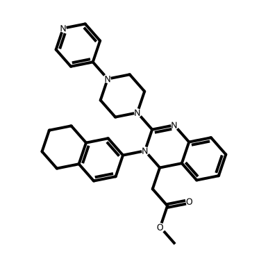 COC(=O)CC1c2ccccc2N=C(N2CCN(c3ccncc3)CC2)N1c1ccc2c(c1)CCCC2